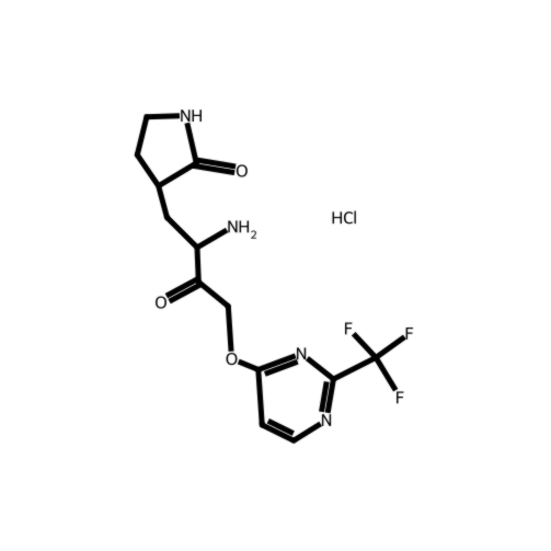 Cl.NC(CC1CCNC1=O)C(=O)COc1ccnc(C(F)(F)F)n1